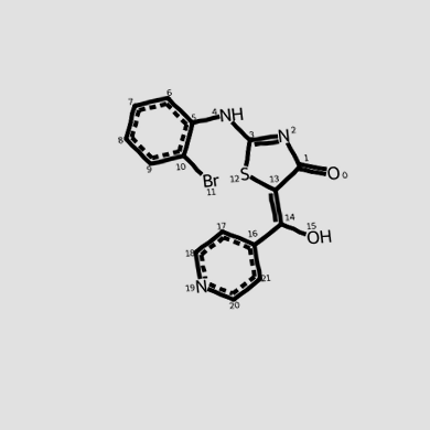 O=C1N=C(Nc2ccccc2Br)SC1=C(O)c1ccncc1